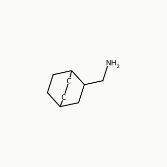 NCC1CC2CCC1CC2